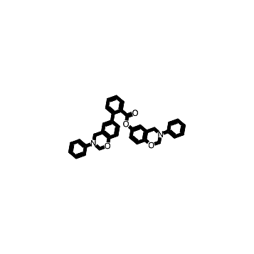 O=C(Oc1ccc2c(c1)CN(c1ccccc1)CO2)c1ccccc1-c1ccc2c(c1)CN(c1ccccc1)CO2